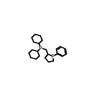 c1ccc(P2CCCC2CP(C2CCCCC2)C2CCCCC2)cc1